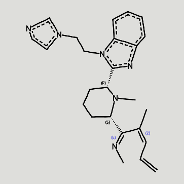 C=C/C=C(C)\C(=N/C)[C@@H]1CCC[C@H](c2nc3ccccc3n2CCn2ccnc2)N1C